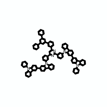 c1ccc(-c2cc(-c3ccccc3)cc(-c3cccc(-c4cc(-c5cccc(-n6c7ccccc7c7ccc(-c8ccc9c(c8)c8ccccc8n9-c8ccccc8)cc76)c5)nc(-c5cccc(-n6c7ccccc7c7ccc(-c8ccc9c(c8)c8ccccc8n9-c8ccccc8)cc76)c5)n4)c3)c2)cc1